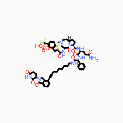 CN1CC[C@H]2CC[C@@H](C(=O)N[C@@H](CCC(N)=O)C(=O)N[C@H](C(=O)NCCCCCCCC#Cc3cccc4c3CN(C3CCC(=O)NC3=O)C4=O)c3ccccc3)N2C(=O)[C@@H](NC(=O)c2cc3cc(C(F)(F)P(=O)(O)O)ccc3s2)C1